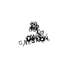 CN(C)c1ccc(N=Nc2nc3ccc([N+](=O)[O-])cc3s2)c(NC(=O)CCC(=O)ON2C(=O)CCC2=O)c1